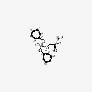 O=C([O-])CNP(=O)(Oc1ccccc1)Oc1ccccc1.[Na+]